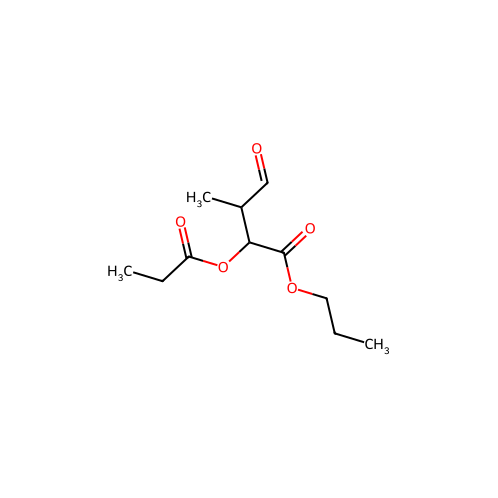 CCCOC(=O)C(OC(=O)CC)C(C)C=O